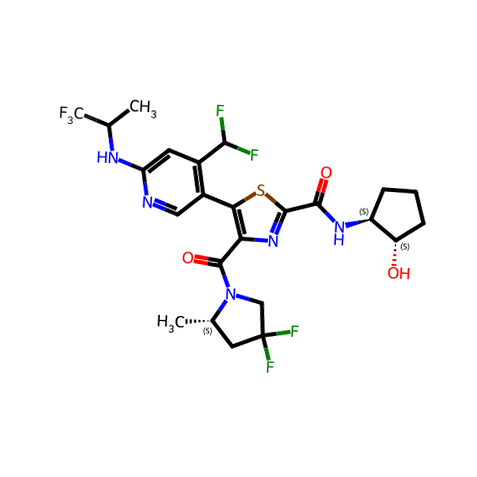 CC(Nc1cc(C(F)F)c(-c2sc(C(=O)N[C@H]3CCC[C@@H]3O)nc2C(=O)N2CC(F)(F)C[C@@H]2C)cn1)C(F)(F)F